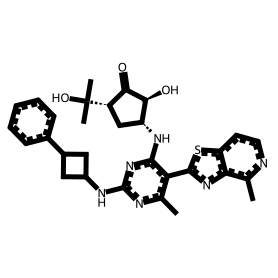 Cc1nc(NC2CC(c3ccccc3)C2)nc(N[C@@H]2C[C@H](C(C)(C)O)C(=O)[C@H]2O)c1-c1nc2c(C)nccc2s1